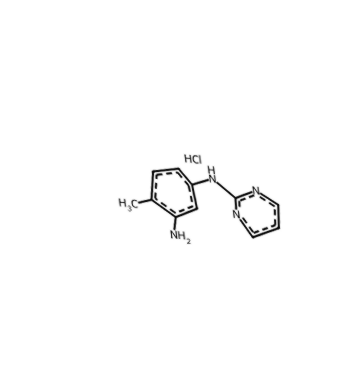 Cc1ccc(Nc2ncccn2)cc1N.Cl